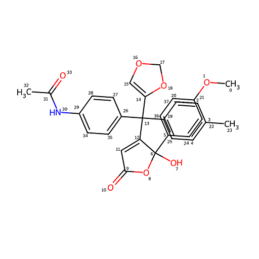 COc1ccc(C2(O)OC(=O)C=C2C(C2=COCO2)(c2ccc(C)cc2)c2ccc(NC(C)=O)cc2)cc1